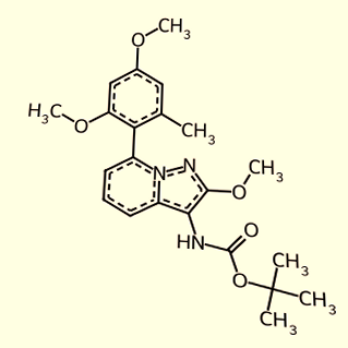 COc1cc(C)c(-c2cccc3c(NC(=O)OC(C)(C)C)c(OC)nn23)c(OC)c1